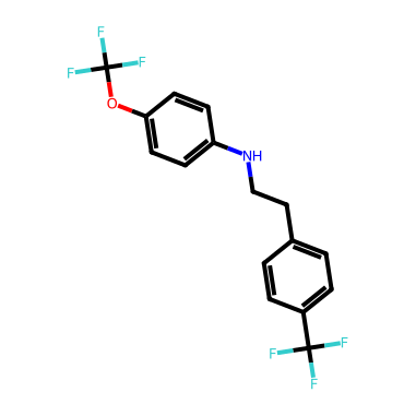 FC(F)(F)Oc1ccc(NCCc2ccc(C(F)(F)F)cc2)cc1